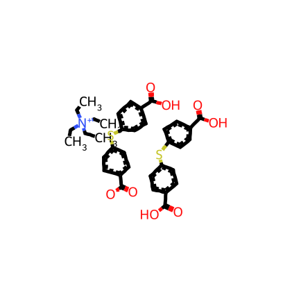 CC[N+](CC)(CC)CC.O=C(O)c1ccc(Sc2ccc(C(=O)O)cc2)cc1.O=C([O-])c1ccc(Sc2ccc(C(=O)O)cc2)cc1